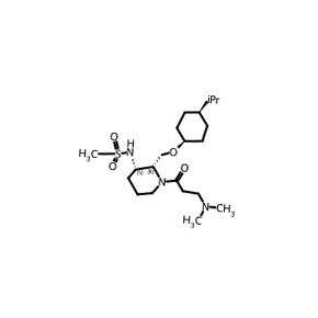 CC(C)[C@H]1CC[C@@H](OC[C@H]2[C@@H](NS(C)(=O)=O)CCCN2C(=O)CCN(C)C)CC1